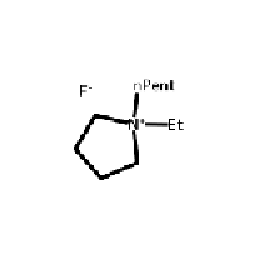 CCCCC[N+]1(CC)CCCC1.[F-]